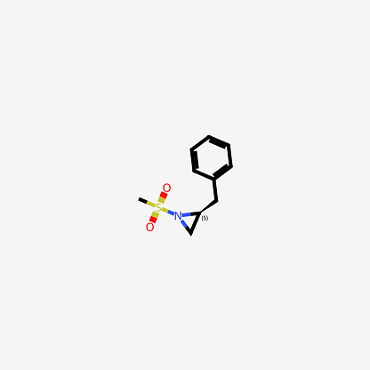 CS(=O)(=O)N1C[C@@H]1Cc1ccccc1